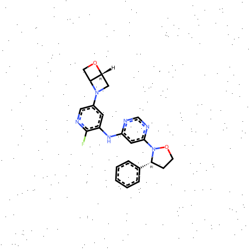 Fc1ncc(N2C[C@H]3OCC32)cc1Nc1cc(N2OCC[C@@H]2c2ccccc2)ncn1